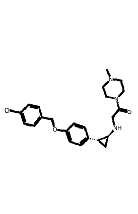 CN1CCN(C(=O)CN[C@H]2C[C@@H]2c2ccc(OCc3ccc(Cl)cc3)cc2)CC1